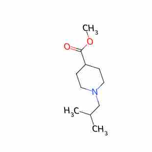 COC(=O)C1CCN(CC(C)C)CC1